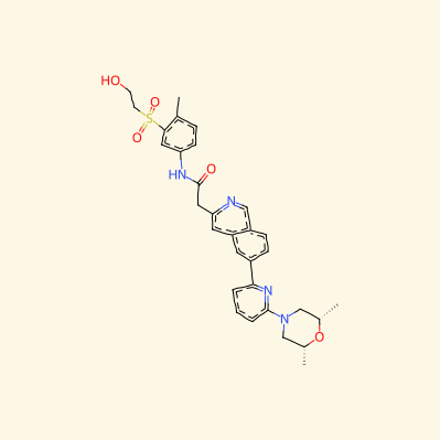 Cc1ccc(NC(=O)Cc2cc3cc(-c4cccc(N5C[C@@H](C)O[C@@H](C)C5)n4)ccc3cn2)cc1S(=O)(=O)CCO